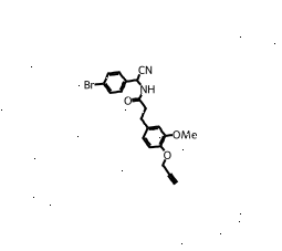 C#CCOc1ccc(CCC(=O)NC(C#N)c2ccc(Br)cc2)cc1OC